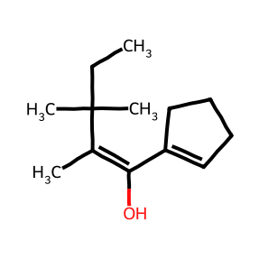 CCC(C)(C)C(C)=C(O)C1=CCCC1